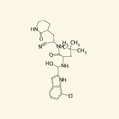 CC(C)(C)CC(NC(O)c1cc2cccc(Cl)c2[nH]1)C(=O)NC(C#N)CC1CCCNC1=O